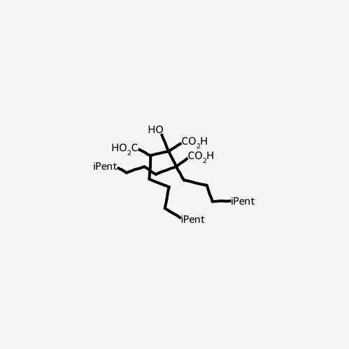 CCCC(C)CCCC(C(=O)O)C(O)(C(=O)O)C(CCCC(C)CCC)(CCCC(C)CCC)C(=O)O